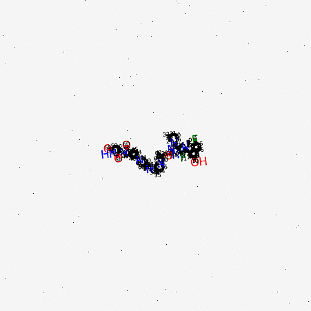 CCc1c(F)ccc2cc(O)cc(-c3ncc4c(N5CCC[C@H](C)C5)nc(OCC5(CN6CCC(C)(CN7CC8(CCN(c9ccc%10c(c9)CN([C@H]9CCC(=O)NC9=O)C%10=O)CC8)C7)CC6)CC5)nc4c3F)c12